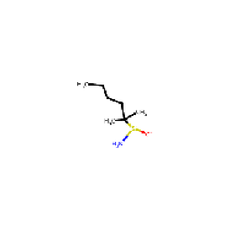 CCCCC(C)(C)[S+](N)[O-]